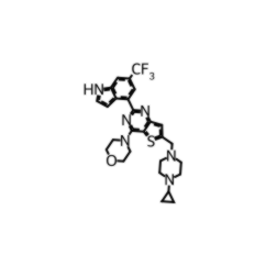 FC(F)(F)c1cc(-c2nc(N3CCOCC3)c3sc(CN4CCN(C5CC5)CC4)cc3n2)c2cc[nH]c2c1